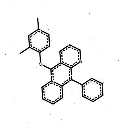 Cc1ccc(Oc2c3ccccc3c(-c3ccccc3)c3ncccc23)c(C)c1